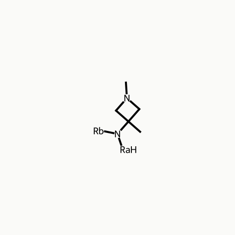 CN1CC(C)([N]([Rb])[RaH])C1